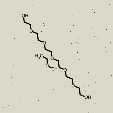 CCOC.OCCOCCOCCOCCOCCOCCO